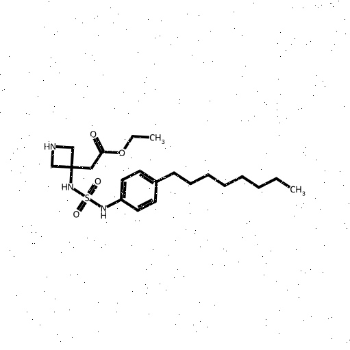 CCCCCCCCc1ccc(NS(=O)(=O)NC2(CC(=O)OCC)CNC2)cc1